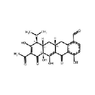 CN(C)[C@@H]1C(O)=C(C(N)=O)C(=O)[C@@]2(O)C(O)=C3C(=O)c4c(O)ccc(C=O)c4C[C@H]3C[C@@H]12